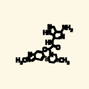 C[C@H]1CC[C@H](c2ccc3nn(C)cc3c2)N(C(=O)C(=O)Nc2cnc(N)c3cn[nH]c23)C1